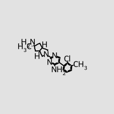 Cc1cccc(-c2cnc(N3C[C@@H]4C[C@@](C)(N)C[C@@H]4C3)nc2N)c1Cl